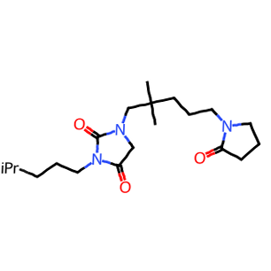 CC(C)CCCN1C(=O)CN(CC(C)(C)CCCN2CCCC2=O)C1=O